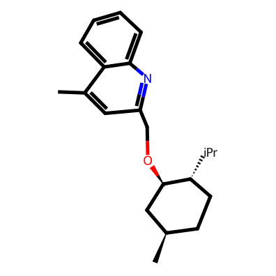 Cc1cc(CO[C@@H]2C[C@H](C)CC[C@H]2C(C)C)nc2ccccc12